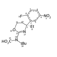 CC[C@@]1(c2cc([N+](=O)[O-])ccc2F)CCOC(N(C(=O)O)C(C)(C)C)=N1